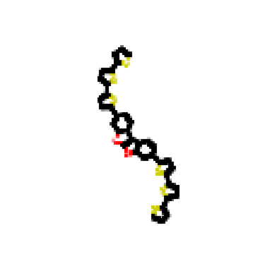 C1=CC2c3c(oc4cc(-c5ccc(-c6ccc(-c7cccs7)s6)s5)ccc34)OC2C=C1c1ccc(-c2ccc(-c3cccs3)s2)s1